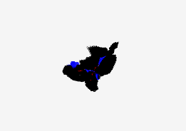 C/C=C\C=C\c1cccc(C2=NC(c3cccc(-c4ccccn4)c3N3c4ccccc4C4(C)C=CCCC34)=NC(c3ccccc3)N2C)c1N1C2=C(CCC=C2)C2C=CCCC21